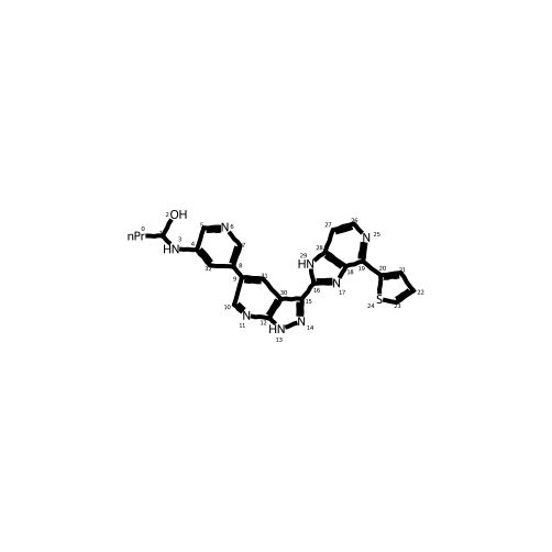 CCCC(O)Nc1cncc(-c2cnc3[nH]nc(-c4nc5c(-c6cccs6)nccc5[nH]4)c3c2)c1